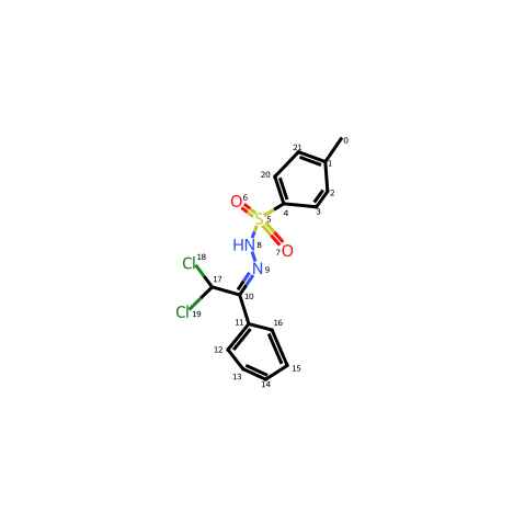 Cc1ccc(S(=O)(=O)NN=C(c2ccccc2)C(Cl)Cl)cc1